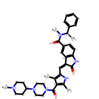 Cc1[nH]c(C=C2C(=O)Nc3ccc(C(=O)N(C)[C@H](C)c4ccccc4)cc32)c(C)c1C(=O)N1CCN(C2CCN(C)CC2)CC1